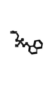 CCCCCCCCCCCOP(=O)(CC)OOc1cccc2ccccc12